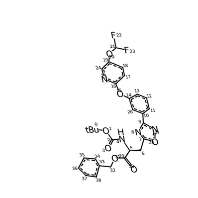 CC(C)(C)OC(=O)N[C@@H](Cc1nc(-c2cccc(Oc3ccc(OC(F)F)cn3)c2)no1)C(=O)OCc1ccccc1